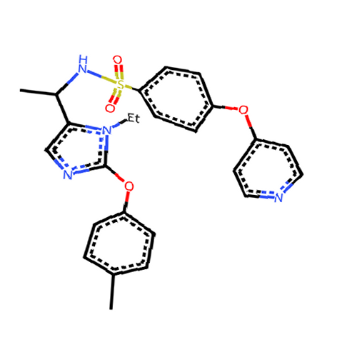 CCn1c(C(C)NS(=O)(=O)c2ccc(Oc3ccncc3)cc2)cnc1Oc1ccc(C)cc1